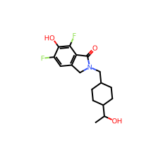 CC(O)C1CCC(CN2Cc3cc(F)c(O)c(F)c3C2=O)CC1